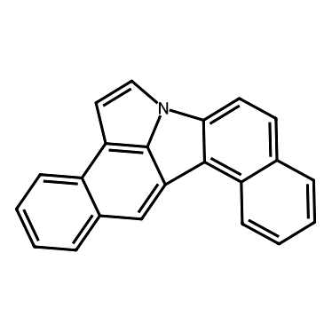 c1ccc2c(c1)cc1c3c4ccccc4ccc3n3ccc2c13